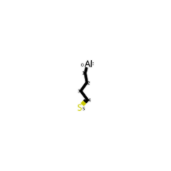 [Al][CH2]CCC=S